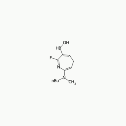 CCCCN(C)C1=CCC=C(BO)C(F)=N1